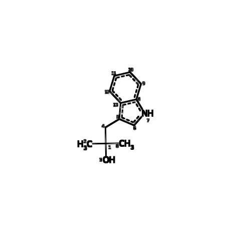 CC(C)(O)Cc1c[nH]c2ccccc12